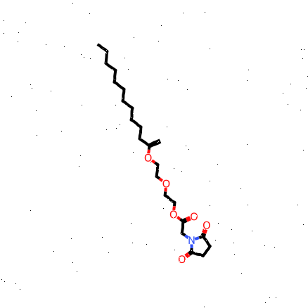 C=C(CCCCCCCCCCC)OCCOCCOC(=O)CN1C(=O)CCC1=O